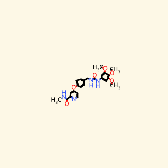 CNC(=O)c1cc(Oc2ccc(CNC(=O)Nc3cc(OC)c(OC)c(OC)c3)cc2)ccn1